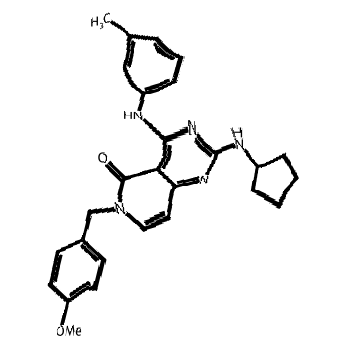 COc1ccc(Cn2ccc3nc(NC4CCCC4)nc(Nc4cccc(C)c4)c3c2=O)cc1